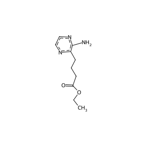 CCOC(=O)CCCc1nccnc1N